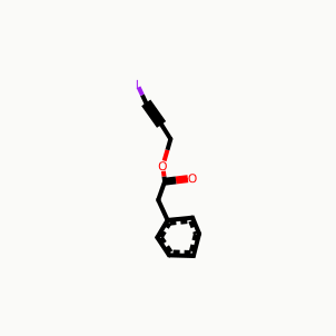 O=C(Cc1ccccc1)OCC#CI